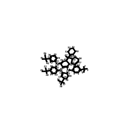 CC(C)(C)c1ccc(N2C3=C4B(C5=CC(C(C)(C)C)CCC52)c2ccc(C(C)(C)C)cc2N(c2cccc(C(C)(C)C)c2)C4=CC(C(C)(C2=CCCCC2)C2CC=CCC2)C3)cc1